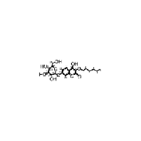 CCCCCCOc1c(O)c2ccc(O[C@@H]3O[C@H](CO)[C@@H](O)[C@H](O)[C@H]3O)cc2oc1=O